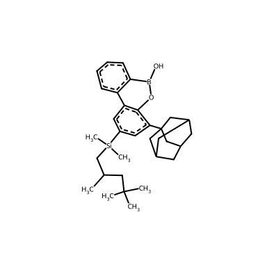 CC(CC(C)(C)C)C[Si](C)(C)c1cc2c(c(C34CC5CC(CC(C5)C3)C4)c1)OB(O)c1ccccc1-2